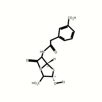 CCO[C@H]1S[C@H]2C(NC(=O)Cc3cccc(C(=O)O)c3)C(=O)N2C1C(=O)O